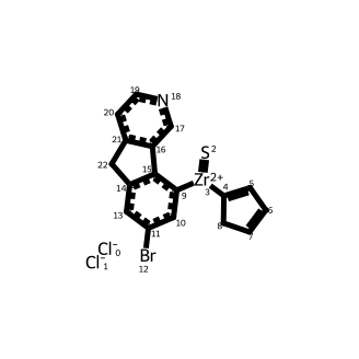 [Cl-].[Cl-].[S]=[Zr+2]([C]1=CC=CC1)[c]1cc(Br)cc2c1-c1cnccc1C2